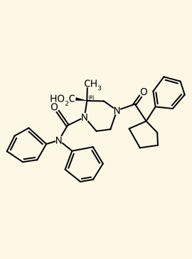 C[C@]1(C(=O)O)CN(C(=O)C2(c3ccccc3)CCCC2)CCN1C(=O)N(c1ccccc1)c1ccccc1